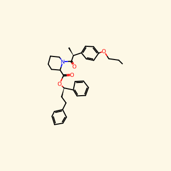 CCCOc1ccc([C@H](C)C(=O)N2CCCCC2C(=O)O[C@H](CCc2ccccc2)c2ccccc2)cc1